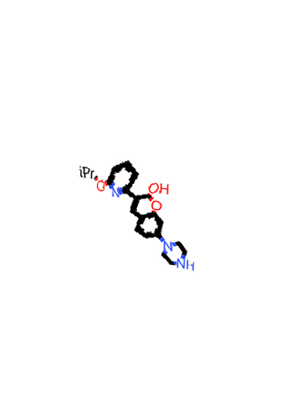 CC(C)Oc1cccc(C2=Cc3ccc(N4CCNCC4)cc3OC2O)n1